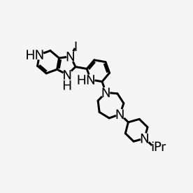 CC(C)N1CCC(N2CCCN(C3C=CC=C(C4NC5=C(CNC=C5)N4I)N3)CC2)CC1